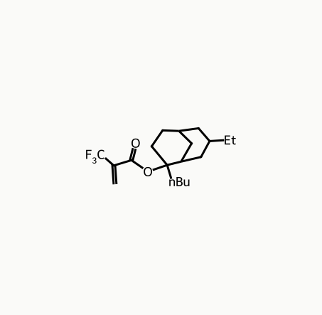 C=C(C(=O)OC1(CCCC)CCC2CC(CC)CC1C2)C(F)(F)F